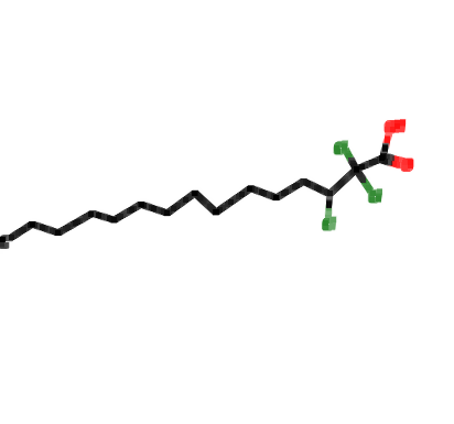 CCCCCCCCCCCCC(Cl)C(Cl)(Cl)C(=O)O